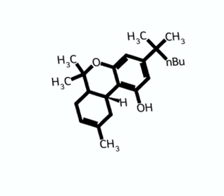 CCCCC(C)(C)c1cc(O)c2c(c1)OC(C)(C)C1CC=C(C)C[C@@H]21